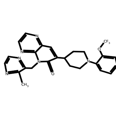 Cc1nccnc1Cn1c(=O)c(C2CCN(c3ccccc3OC(F)(F)F)CC2)cc2nccnc21